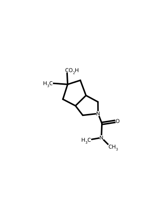 CN(C)C(=O)N1CC2CC(C)([12C](=O)O)CC2C1